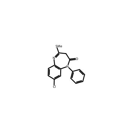 CSC1=Nc2ccc(Cl)cc2N(c2ccccc2)C(=O)C1